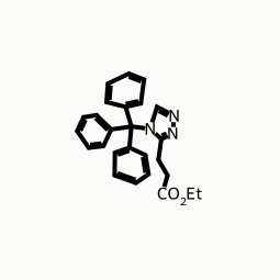 CCOC(=O)CCc1nncn1C(c1ccccc1)(c1ccccc1)c1ccccc1